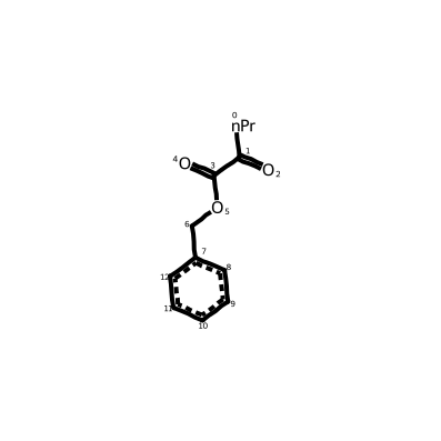 CCCC(=O)C(=O)OCc1ccccc1